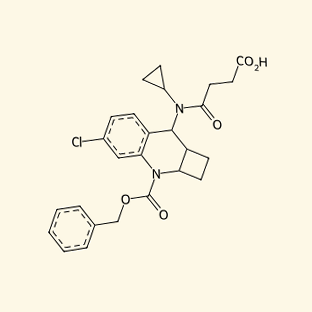 O=C(O)CCC(=O)N(C1CC1)C1c2ccc(Cl)cc2N(C(=O)OCc2ccccc2)C2CCC21